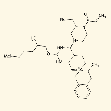 C=CC(=O)N1CCN(C2NC(OCC(C)CCCNC)NC3C[C@]4(CCC32)Cc2ccccc2CC4C)CC1CC#N